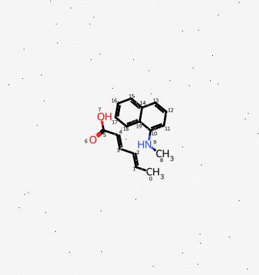 C/C=C/C=C/C(=O)O.CNc1cccc2ccccc12